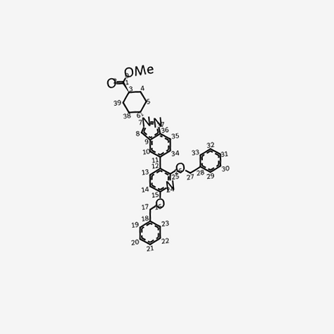 COC(=O)[C@H]1CC[C@H](n2cc3cc(-c4ccc(OCc5ccccc5)nc4OCc4ccccc4)ccc3n2)CC1